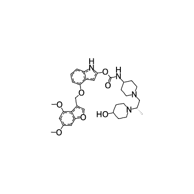 COc1cc(OC)c2c(COc3cccc4[nH]c(OC(=O)NC5CCN(C[C@H](C)N6CCC(O)CC6)CC5)cc34)coc2c1